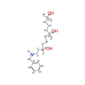 CN(CCC(C)(O)CCCC(C)(O)CCCC(C)(C)O)Cc1ccccc1